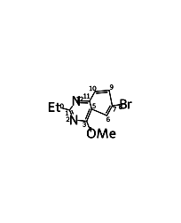 CCc1nc(OC)c2cc(Br)ccc2n1